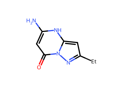 CCc1cc2[nH]c(N)cc(=O)n2n1